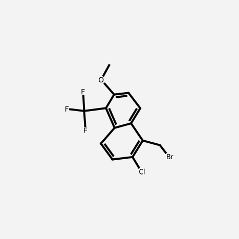 COc1ccc2c(CBr)c(Cl)ccc2c1C(F)(F)F